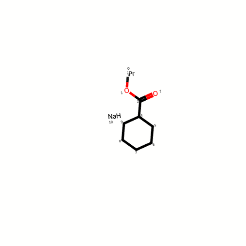 CC(C)OC(=O)C1CCCCC1.[NaH]